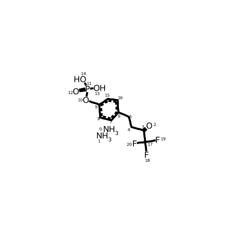 N.N.O=C(CCc1ccc(OP(=O)(O)O)cc1)C(F)(F)F